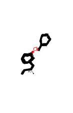 CC[C@@H](C)Cc1cccc(OCC2CCCCC2)c1